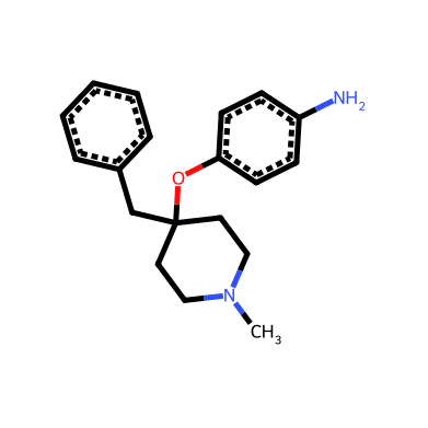 CN1CCC(Cc2ccccc2)(Oc2ccc(N)cc2)CC1